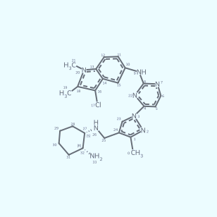 Cc1nn(-c2ccnc(Nc3ccc4c(c3)c(Cl)c(C)n4C)n2)cc1CN[C@H]1CCCC[C@H]1N